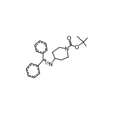 CC(C)(C)OC(=O)N1CCC([15N]=C(c2ccccc2)c2ccccc2)CC1